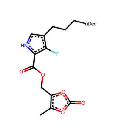 CCCCCCCCCCCCCc1c[nH]c(C(=O)OCc2oc(=O)oc2C)c1F